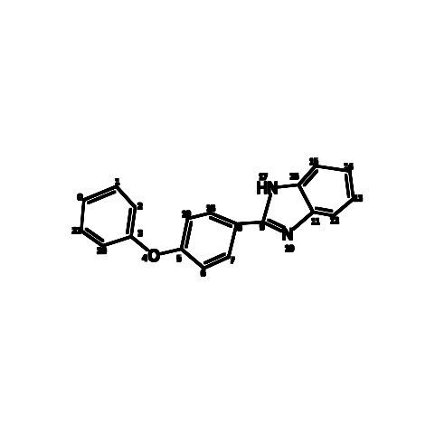 c1ccc(Oc2ccc(-c3nc4ccccc4[nH]3)cc2)cc1